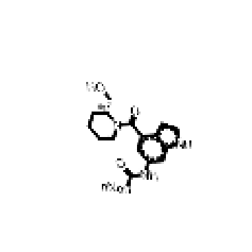 CCCCCCCCCC(=O)Nc1cc(C(=O)N2CCCC[C@@H]2CO)c2cc[nH]c2c1